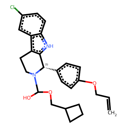 C=CCOc1ccc([C@H]2c3[nH]c4ccc(Cl)cc4c3CCN2C(O)OCC2CCC2)cc1